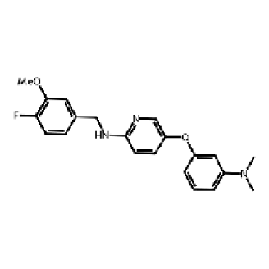 COc1cc(CNc2ccc(Oc3cccc(N(C)C)c3)cn2)ccc1F